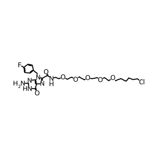 Nc1nc2c(nc(C(=O)NCCOCCOCCOCCOCCOCCCCCCCl)n2Cc2ccc(F)cc2)c(=O)[nH]1